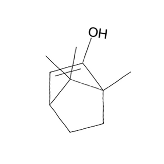 CC12CCC(C=C1O)C2(C)C